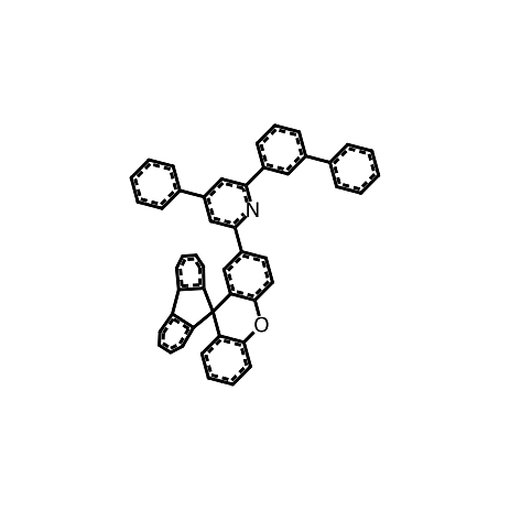 c1ccc(-c2cccc(-c3cc(-c4ccccc4)cc(-c4ccc5c(c4)C4(c6ccccc6O5)c5ccccc5-c5ccccc54)n3)c2)cc1